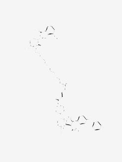 CN(C/C=C/C(=O)N1CCC([C@@H]2CCNc3c(C(N)=O)c(-c4ccc(Oc5ccccc5)cc4)nn32)CC1)CCOCCOCCOCCN1C(=O)C(N2Cc3c(N)cccc3C2=O)CCC1O